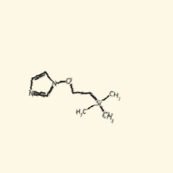 C[Si](C)(C)CCOn1ccnc1